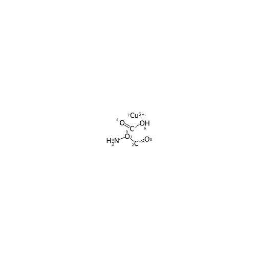 NO[C-]=O.O=[C-]O.[Cu+2]